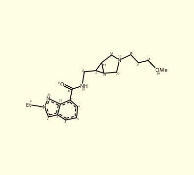 CCn1cc2cccc(C(=O)NCC3C4CN(CCCOC)CC34)c2n1